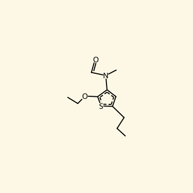 CCCc1cc(N(C)C=O)c(OCC)s1